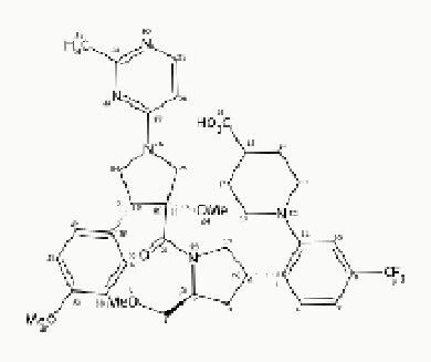 COC[C@@H]1C[C@@H](c2ccc(C(F)(F)F)cc2N2CCC(C(=O)O)CC2)CN1C(=O)[C@]1(OC)CN(c2ccnc(C)n2)C[C@H]1c1ccc(OC)cc1